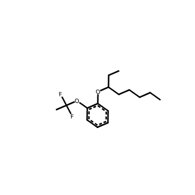 CCCCCC(CC)Oc1ccccc1OC(C)(F)F